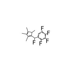 CC1=C(C)C(C)C(C(F)c2cc(F)c(F)c(F)c2F)=C1C